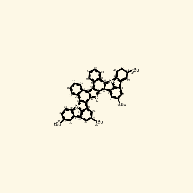 CC(C)(C)c1cc2c3c(n4c2c(c1)c1c2oc5c(c6ccccc6c6c5c5cc(C(C)(C)C)cc7c8cc(C(C)(C)C)ccc8n6c75)c2c2ccccc2c14)=CCC(C(C)(C)C)C=3